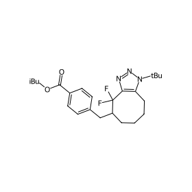 CCC(C)OC(=O)c1ccc(CC2CCCCc3c(nnn3C(C)(C)C)C2(F)F)cc1